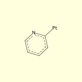 [Pt][c]1ccccn1